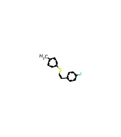 Cc1ccc(S/C=C\c2ccc(F)cc2)cc1